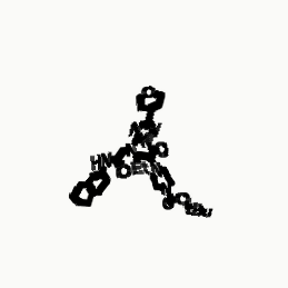 CCc1c(N2CCN(C(=O)OC(C)(C)C)CC2)c(=O)n2nc(C3=CCOCC3)nc2n1CC(=O)Nc1ccc2c(c1)CCCC2